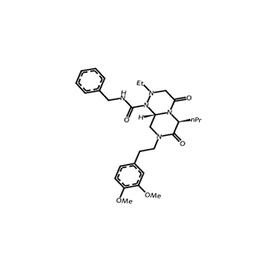 CCC[C@H]1C(=O)N(CCc2ccc(OC)c(OC)c2)C[C@H]2N1C(=O)CN(CC)N2C(=O)NCc1ccccc1